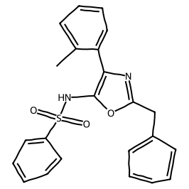 Cc1ccccc1-c1nc(Cc2ccccc2)oc1NS(=O)(=O)c1ccccc1